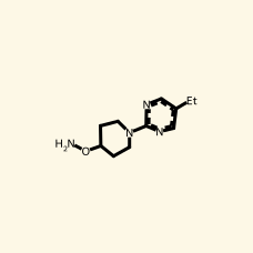 CCc1cnc(N2CCC(ON)CC2)nc1